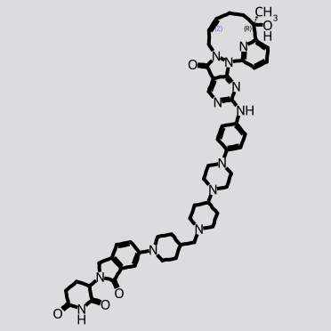 C[C@@]1(O)CC/C=C\Cn2c(=O)c3cnc(Nc4ccc(N5CCN(C6CCN(CC7CCN(c8ccc9c(c8)C(=O)N(C8CCC(=O)NC8=O)C9)CC7)CC6)CC5)cc4)nc3n2-c2cccc1n2